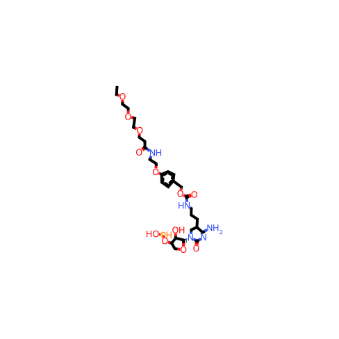 CCOCCOCCOCCC(=O)NCCOc1ccc(COC(=O)NCCCC2CN([C@@H]3OCC(OPO)C3O)C(=O)N=C2N)cc1